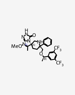 CO/N=C(\C)[C@]1(n2cn[nH]c2=O)CC[C@@](CO[C@H](C)c2cc(C(F)(F)F)cc(C(F)(F)F)c2)(c2ccccc2)NC1